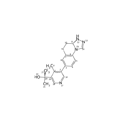 Cc1c(-c2ccc3c(c2)CCC2NN=CN32)cncc1[C@](C)(O)C(F)(F)F